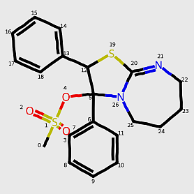 CS(=O)(=O)OC1(c2ccccc2)C(c2ccccc2)SC2=NCCCCN21